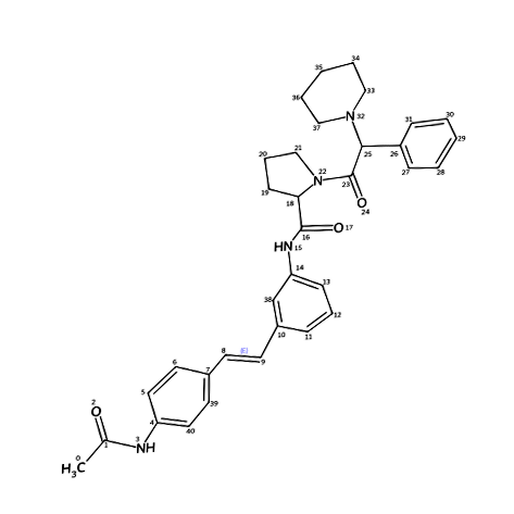 CC(=O)Nc1ccc(/C=C/c2cccc(NC(=O)C3CCCN3C(=O)C(c3ccccc3)N3CCCCC3)c2)cc1